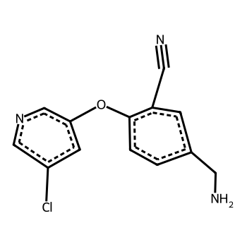 N#Cc1cc(CN)ccc1Oc1cncc(Cl)c1